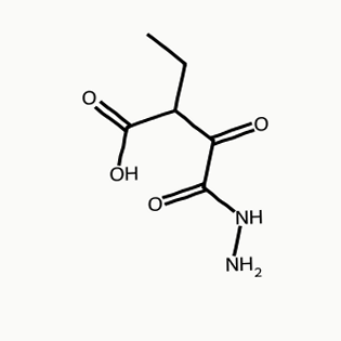 CCC(C(=O)O)C(=O)C(=O)NN